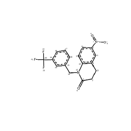 O=C1CCc2cc([N+](=O)[O-])ccc2N1Cc1cccc(C(F)(F)F)c1